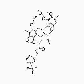 C=CCOc1c(C)c2c(c3c1CC1C4c5c(cc(C)c(OC)c5OCOC)CC([C@H](C#N)N1[C@H]3COC(=O)/C=C/c1cccc(C(F)(F)F)c1)N4C)OCO2